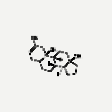 C[C@@]12CCC[C@H]1[C@@H]1CCC3CC=C(C#N)C[C@]3(C)[C@@H]1CC2